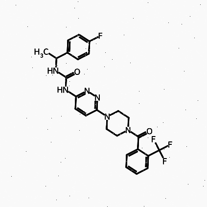 CC(NC(=O)Nc1ccc(N2CCN(C(=O)c3ccccc3C(F)(F)F)CC2)nn1)c1ccc(F)cc1